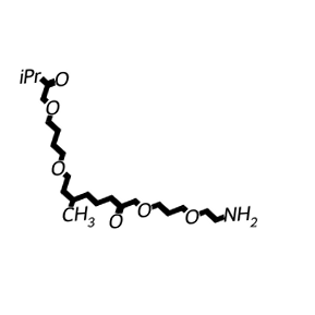 CC(CCCC(=O)COCCCOCCN)CCOCCCCOCC(=O)C(C)C